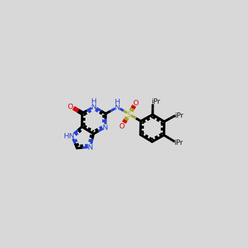 CC(C)c1ccc(S(=O)(=O)Nc2nc3nc[nH]c3c(=O)[nH]2)c(C(C)C)c1C(C)C